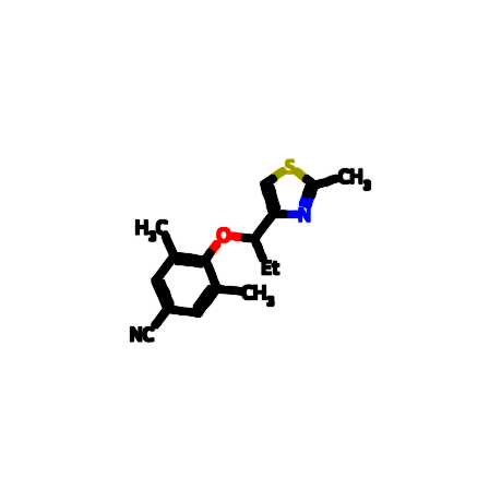 CCC(Oc1c(C)cc(C#N)cc1C)c1csc(C)n1